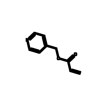 C=CC(=O)OCc1ccncc1